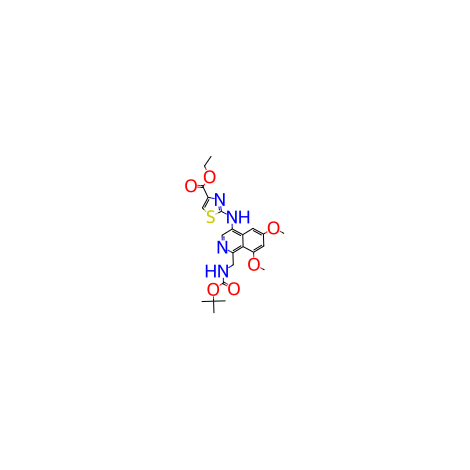 CCOC(=O)c1csc(Nc2cnc(CNC(=O)OC(C)(C)C)c3c(OC)cc(OC)cc23)n1